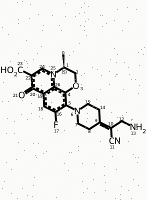 C[C@H]1COc2c(N3CCC(=C(C#N)CN)CC3)c(F)cc3c(=O)c(C(=O)O)cn1c23